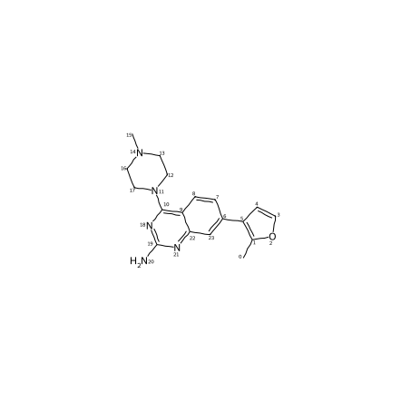 Cc1occc1-c1ccc2c(N3CCN(C)CC3)nc(N)nc2c1